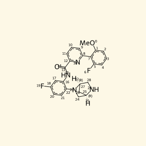 COc1cccc(F)c1-c1cccc(C(=O)Nc2cc(F)ccc2N2C[C@H]3C[C@@H]2CN3)n1